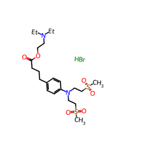 Br.CCN(CC)CCOC(=O)CCCc1ccc(N(CCS(C)(=O)=O)CCS(C)(=O)=O)cc1